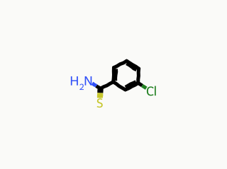 NC(=S)c1cccc(Cl)c1